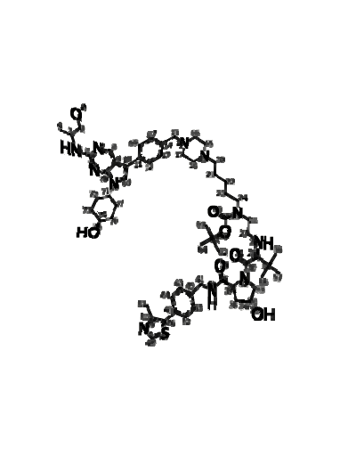 COCC(C)Nc1ncc2c(-c3ccc(CN4CCN(CCCCCN(CCN[C@H](C(=O)N5C[C@H](O)C[C@H]5C(=O)NCc5ccc(-c6scnc6C)cc5)C(C)(C)C)C(=O)OC(C)(C)C)CC4)cc3)cn([C@H]3CC[C@H](O)CC3)c2n1